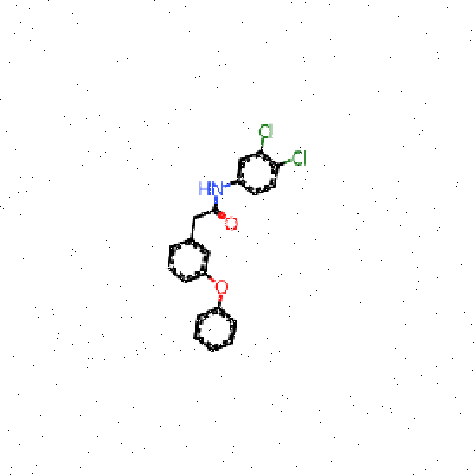 O=C(Cc1cccc(Oc2ccccc2)c1)Nc1ccc(Cl)c(Cl)c1